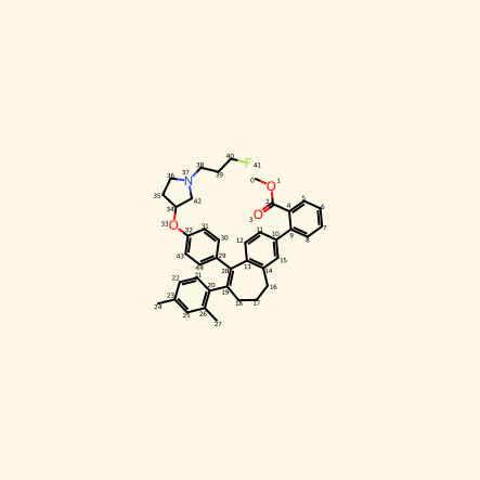 COC(=O)c1ccccc1-c1ccc2c(c1)CCCC(c1ccc(C)cc1C)=C2c1ccc(OC2CCN(CCCF)C2)cc1